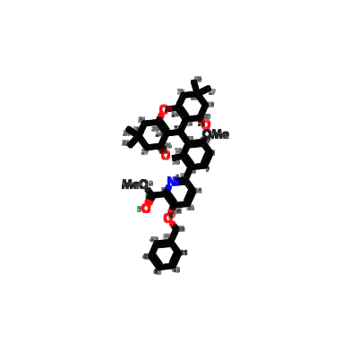 COC(=O)c1nc(-c2ccc(OC)c(C3C4=C(CC(C)(C)CC4=O)OC4=C3C(=O)CC(C)(C)C4)c2C)ccc1OCc1ccccc1